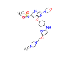 CN1CCN(CCOc2ccc(N[C@H]3CC[C@@H](Oc4nc(N5CCOCC5)cc5ncc(NS(C)(=O)=O)cc45)CC3)nc2)CC1